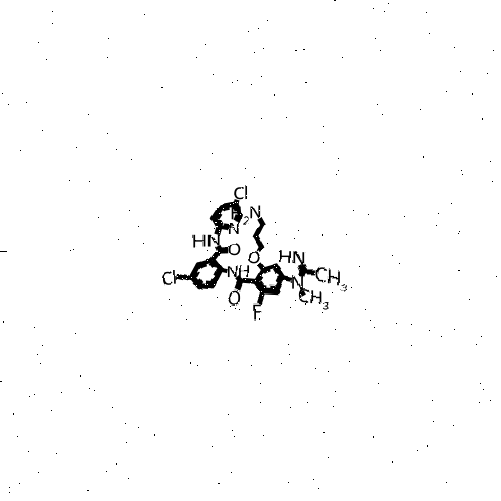 CC(=N)N(C)c1cc(F)c(C(=O)Nc2ccc(Cl)cc2C(=O)Nc2ccc(Cl)cn2)c(OCCCN)c1